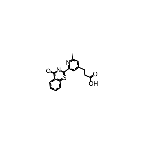 Cc1cc(CCC(=O)O)cc(-c2nc(=O)c3ccccc3s2)n1